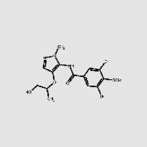 COc1c(Br)cc(C(=O)Nc2c(OC(C)CO)cnn2C)cc1Br